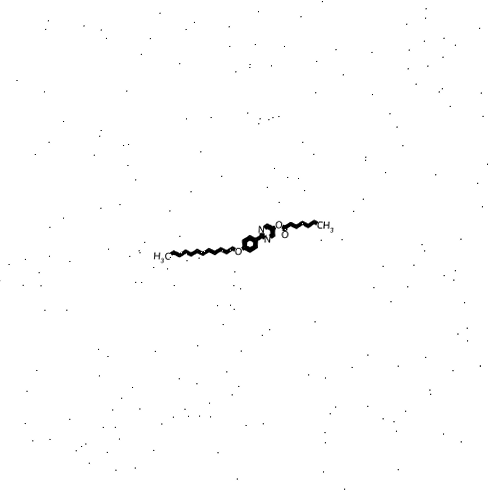 CCCCCCCCCCCCOc1ccc(-c2ncc(OC(=O)CCCCCC)cn2)cc1